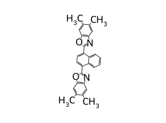 Cc1cc2nc(-c3ccc(-c4nc5cc(C)c(C)cc5o4)c4ccccc34)oc2cc1C